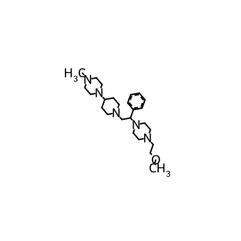 COCCN1CCN(C(CN2CCC(N3CCN(C)CC3)CC2)c2ccccc2)CC1